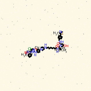 COc1cc(N2CCC(NCCCCCCCC(=O)N[C@H](C(=O)N3C[C@H](O)C[C@H]3C(=O)NCc3ccc(-c4scnc4C)cc3)C(C)(C)C)CC2)ccc1Nc1ncc(Cl)c(Nc2ccccc2P(C)(C)=O)n1